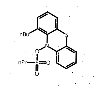 CCCCc1cccc2c1N(OS(=O)(=O)CCC)c1ccccc1S2